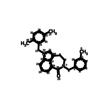 Cc1cccc(CN2CCc3cn(Cc4cc(C)ccc4C)c4cccc(c34)C2=O)c1